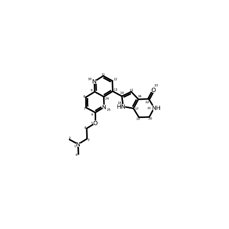 CN(C)CCOc1ccc2nccc(-c3cc4c([nH]3)CCNC4=O)c2n1